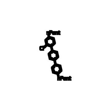 CCCCCc1ccc(-c2ccc(-c3ccc(CCCCC)cc3Cl)cc2)cc1